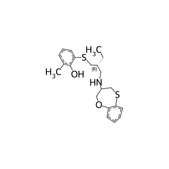 CC[C@H](CNC1COc2ccccc2SC1)CSc1cccc(C)c1O